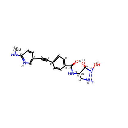 CCCCNc1ccc(C#Cc2ccc(C(=O)N[C@@H](CN)C(=O)NO)cc2)cn1